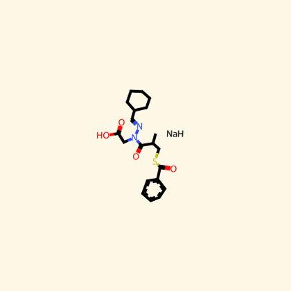 CC(CSC(=O)c1ccccc1)C(=O)N(CC(=O)O)/N=C/C1CCCCC1.[NaH]